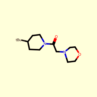 CC(C)(C)C1CCN(C(=O)CN2CCOCC2)CC1